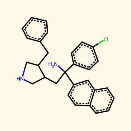 NC(CC1CNCC1Cc1ccccc1)(c1ccc(Cl)cc1)c1ccc2ccccc2c1